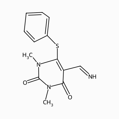 Cn1c(Sc2ccccc2)c(C=N)c(=O)n(C)c1=O